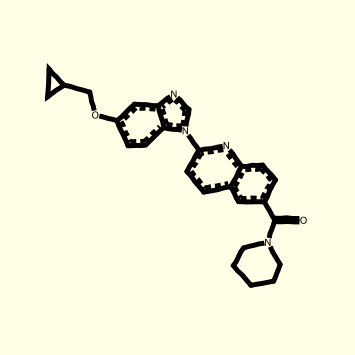 O=C(c1ccc2nc(-n3cnc4cc(OCC5CC5)ccc43)ccc2c1)N1CCCCC1